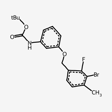 Cc1ccc(COc2cccc(NC(=O)OC(C)(C)C)c2)c(F)c1Br